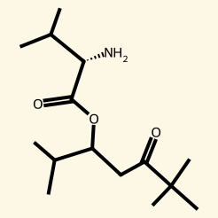 CC(C)C(CC(=O)C(C)(C)C)OC(=O)[C@@H](N)C(C)C